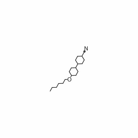 CCCCCCOC1CCC(C2CCC(C#N)CC2)CC1